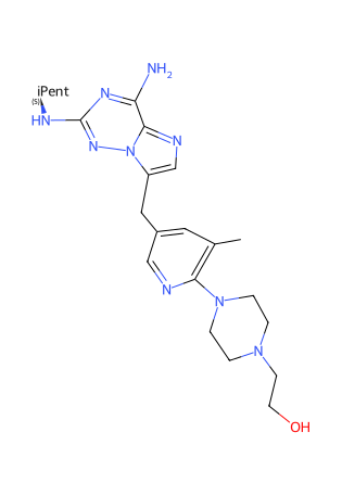 CCC[C@H](C)Nc1nc(N)c2ncc(Cc3cnc(N4CCN(CCO)CC4)c(C)c3)n2n1